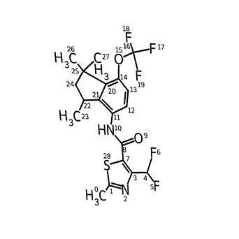 Cc1nc(C(F)F)c(C(=O)Nc2ccc(OC(F)(F)F)c3c2C(C)CC3(C)C)s1